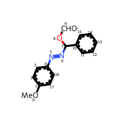 COc1ccc(N=NC(O[C]=O)c2ccccc2)cc1